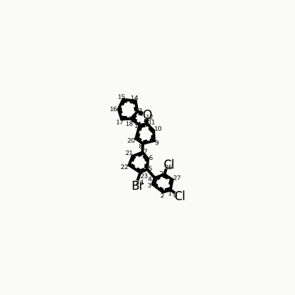 Clc1ccc(-c2cc(-c3ccc4oc5ccccc5c4c3)ccc2Br)c(Cl)c1